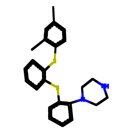 Cc1ccc(Sc2ccccc2Sc2ccccc2N2CCNCC2)c(C)c1